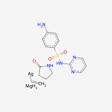 C=[CH][Ag].Nc1ccc(S(=O)(=O)Nc2ncccn2)cc1.O=C1CCCN1.[MgH2]